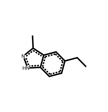 CCc1ccc2[nH]nc(C)c2c1